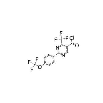 O=C(Cl)c1cnc(-c2ccc(OC(F)(F)F)cc2)nc1C(F)(F)F